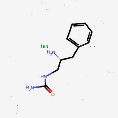 Cl.NC(=O)NC[C@H](N)Cc1ccccc1